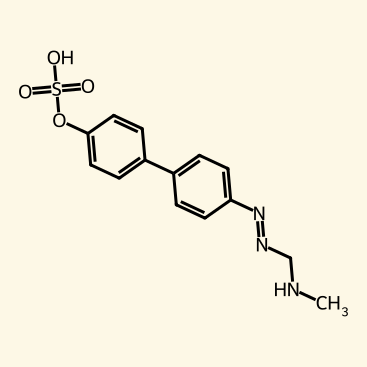 CNCN=Nc1ccc(-c2ccc(OS(=O)(=O)O)cc2)cc1